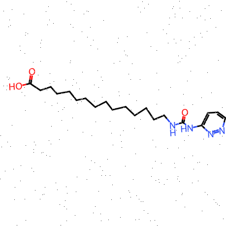 O=C(O)CCCCCCCCCCCCCCNC(=O)Nc1cccnn1